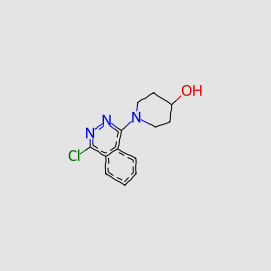 OC1CCN(c2nnc(Cl)c3ccccc23)CC1